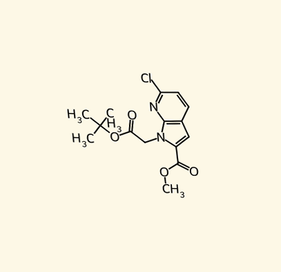 COC(=O)c1cc2ccc(Cl)nc2n1CC(=O)OC(C)(C)C